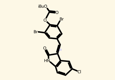 CC(C)COC(=O)Oc1c(Br)cc(/C=C2\C(=O)Nc3ccc(Cl)cc32)cc1Br